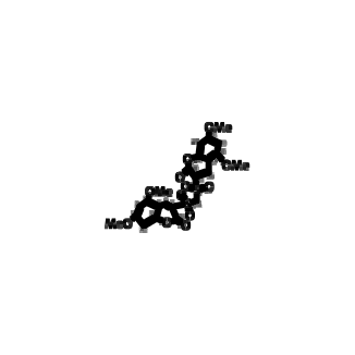 COc1cc(OC)c2cc(S(=O)(=O)CS(=O)(=O)c3cc4c(OC)cc(OC)cc4oc3=O)c(=O)oc2c1